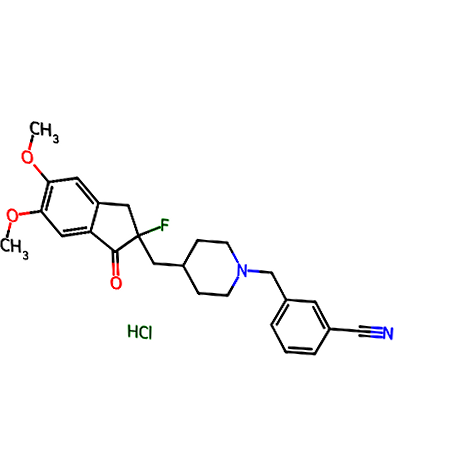 COc1cc2c(cc1OC)C(=O)C(F)(CC1CCN(Cc3cccc(C#N)c3)CC1)C2.Cl